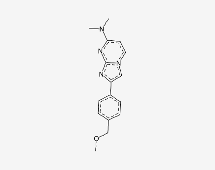 COCc1ccc(-c2cn3ccc(N(C)C)nc3n2)cc1